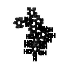 Oc1c(O)c(O)c(-c2c(O)c(O)c3c(c2O)c2c(O)c(O)c(O)c(O)c2n3-c2ccc(-c3nc(-c4ccccc4)nc(-c4ccccc4)n3)c3c2oc2ccccc23)c(O)c1O